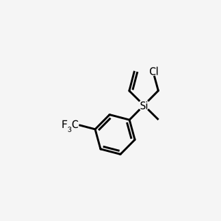 C=C[Si](C)(CCl)c1cccc(C(F)(F)F)c1